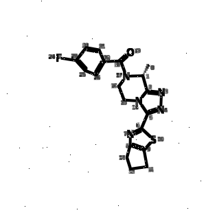 C[C@@H]1c2nnc(-c3nc4c(s3)CCC4)n2CCN1C(=O)c1ccc(F)cc1